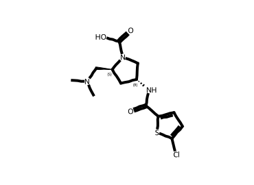 CN(C)C[C@@H]1C[C@@H](NC(=O)c2ccc(Cl)s2)CN1C(=O)O